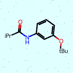 CC(C)C(=O)Nc1cccc(OC(C)(C)C)c1